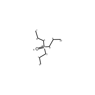 CCCP(=O)(CCC)CCC